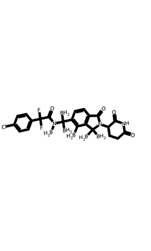 Bc1c(C(B)(B)N(B)C(=O)C(F)(F)c2ccc(Cl)cc2)ccc2c1C(B)(B)N(C1CCC(=O)NC1=O)C2=O